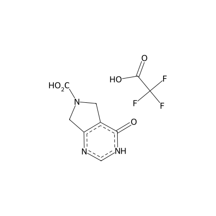 O=C(O)C(F)(F)F.O=C(O)N1Cc2nc[nH]c(=O)c2C1